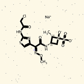 CO/N=C(\C(=O)N[C@H]1C[N+]([O-])(S(=O)(=O)[O-])[C@H]1C)c1csc(NC(=O)CCl)n1.[Na+]